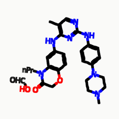 CCCN1C(=O)COc2ccc(Nc3nc(Nc4ccc(N5CCN(C)CC5)cc4)ncc3C)cc21.O=CO